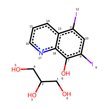 OCC(O)CO.Oc1c(I)cc(I)c2cccnc12